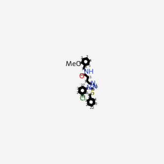 COc1ccccc1CNC(=O)CCc1nnc(SCc2ccccc2)n1-c1cccc(Cl)c1